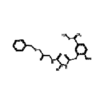 C=C(SN)c1ccc(OC)c(CC(=O)N[C@@H](CC)C(=O)NCC(=O)CSCc2ccccc2)c1